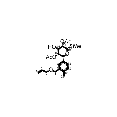 C=CCOCc1cc([C@@H]2O[C@H](SC)[C@@H](OC(C)=O)[C@H](O)[C@H]2OC(C)=O)ccc1C